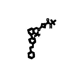 CC(C)(C)NC(=O)N1CC(OCc2cccc(-c3ccc(C=Cc4ccccc4)cc3)c2C(F)(F)F)C1